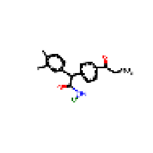 Cc1ccc(C(C(=O)NCl)c2ccc(C(=O)C[N+](=O)[O-])cc2)cc1C